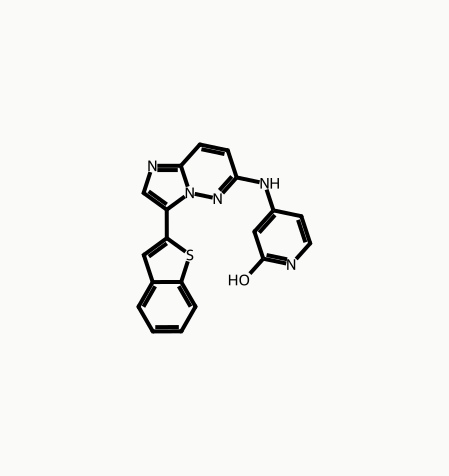 Oc1cc(Nc2ccc3ncc(-c4cc5ccccc5s4)n3n2)ccn1